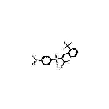 CC(=O)C(=Cc1ccccc1C(F)(F)F)S(=O)(=O)c1ccc([N+](=O)[O-])cc1